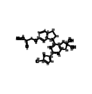 COC(=O)COc1ccc2c(c1)N(c1nc(-c3ccc(Cl)s3)nc3c1CS(O)(O)C3)CC2